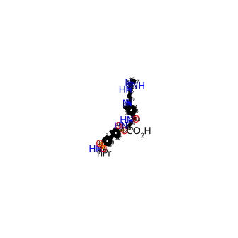 CCCNS(=O)(=O)c1ccc(-c2ccc(S(=O)(=O)NC(CNC(=O)c3ccc4c(cnn4CCCNc4ncc[nH]4)c3)C(=O)O)cc2)cc1